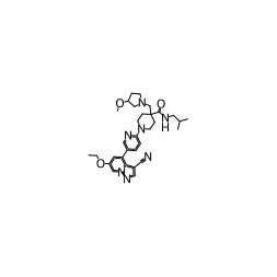 CCOc1cc(-c2ccc(N3CCC(CN4CCC(OC)C4)(C(=O)NCC(C)C)CC3)nc2)c2c(C#N)cnn2c1